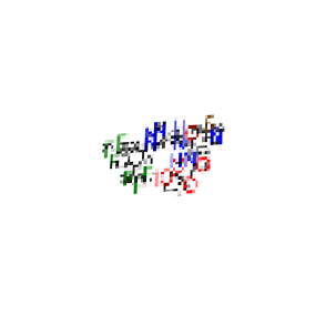 CCC1(C(=O)O)OC1C(=O)N[C@@H](Cc1cscn1)C(=O)NCc1cn(-c2cc(C(F)(F)F)cc(C(F)(F)F)c2)nn1